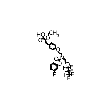 CCOC(Cc1ccc(OCCN(CCOC(F)(F)C(F)(F)C(F)(F)F)C(=O)Oc2cccc(F)c2)cc1)C(=O)O